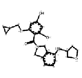 O=C(c1c(O)cc(O)cc1OCC1CC1)N1Cc2cccc(NC3CCOC3)c2C1